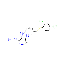 CCCCc1nc2c(N)ncc(C)c2n1CCCSc1ccc(Cl)cc1Cl